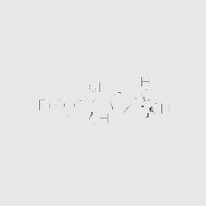 CCOC(=O)C(C)=C(C)c1ccc(C(C)(C)CC)cc1